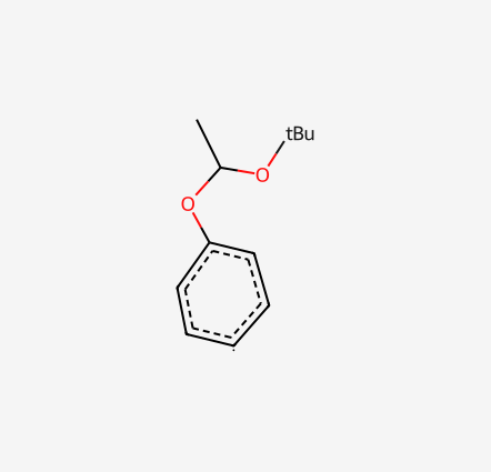 CC(Oc1cc[c]cc1)OC(C)(C)C